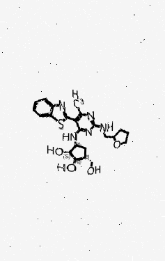 Cc1nc(NCC2CCCO2)nc(N[C@@H]2C[C@H](CO)[C@@H](O)[C@H]2O)c1-c1nc2ccccc2s1